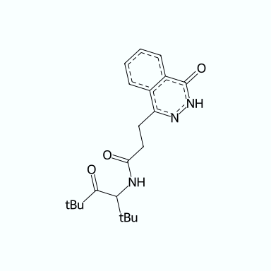 CC(C)(C)C(=O)C(NC(=O)CCc1n[nH]c(=O)c2ccccc12)C(C)(C)C